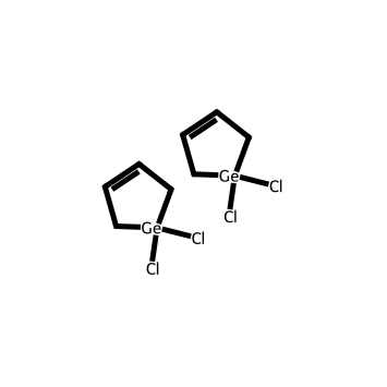 [Cl][Ge]1([Cl])[CH2]C=C[CH2]1.[Cl][Ge]1([Cl])[CH2]C=C[CH2]1